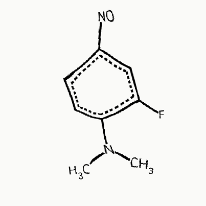 CN(C)c1ccc(N=O)cc1F